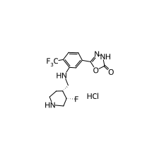 Cl.O=c1[nH]nc(-c2ccc(C(F)(F)F)c(NC[C@H]3CCNC[C@H]3F)c2)o1